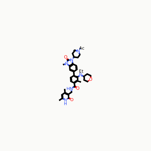 CCN(c1c(-c2ccc3c(c2)n(C)c(=O)n3C2CCN(C(C)=O)CC2)ccc(C(=O)NCc2c(C)cc(C)[nH]c2=O)c1C)C1CCOCC1